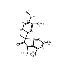 COC1=CC(C(C)(C)C(=O)C(C=O)c2ccc(C#N)cc2[N+](=O)[O-])CC=C1OC(C)C